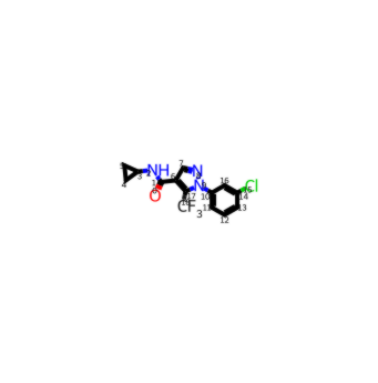 O=C(NC1CC1)c1cnn(-c2cccc(Cl)c2)c1C(F)(F)F